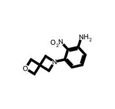 Nc1cccc(N2CC3(COC3)C2)c1[N+](=O)[O-]